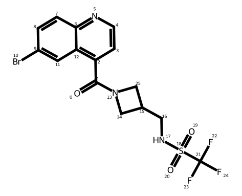 O=C(c1ccnc2ccc(Br)cc12)N1CC(CNS(=O)(=O)C(F)(F)F)C1